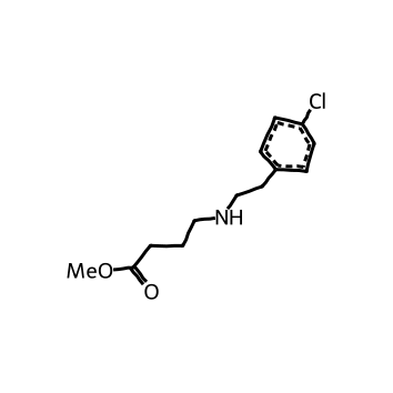 COC(=O)CCCNCCc1ccc(Cl)cc1